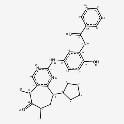 CC1CN(C2CCCC2)c2nc(Nc3ccc(O)c(NC(=O)c4cccnc4)c3)ncc2N(C)C1=O